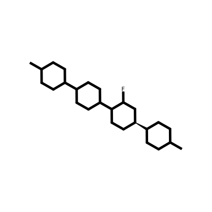 CC1CCC(C2CCC(C3CC[C@H](C4CCC(C)CC4)CC3F)CC2)CC1